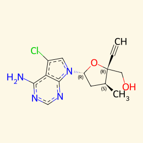 C#C[C@]1(CO)O[C@@H](n2cc(Cl)c3c(N)ncnc32)C[C@@H]1C